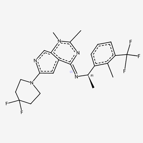 Cc1c([C@@H](C)/N=c2\nc(C)n(C)c3cnc(N4CCC(F)(F)CC4)cc23)cccc1C(F)(F)F